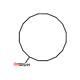 [O]=[SnH][CH]1CCCCCCCCCCCCCCC1